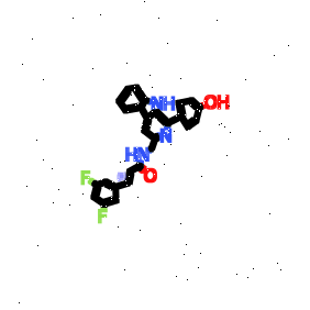 O=C(/C=C/c1cc(F)cc(F)c1)NCc1cc2c([nH]c3ccccc32)c(-c2ccc(O)cc2)n1